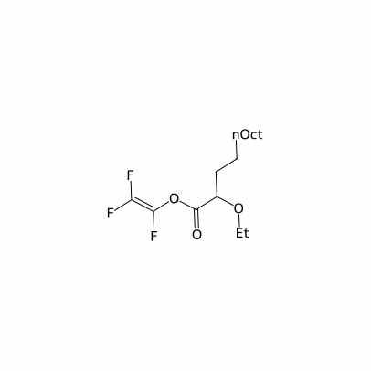 CCCCCCCCCCC(OCC)C(=O)OC(F)=C(F)F